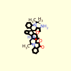 CC(C)N1c2ccccc2C2(c3ccccc3-c3c(CC(C)n4c5ccccc5c(=O)c5occ(N)c54)cccc32)c2occ(N)c21